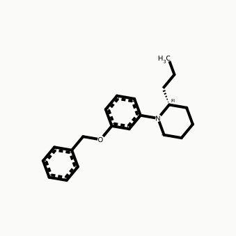 CCC[C@@H]1CCC[CH]N1c1cccc(OCc2ccccc2)c1